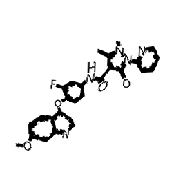 COc1ccc2c(Oc3ccc(NC(=O)c4c(C)n(C)n(-c5ccccn5)c4=O)cc3F)ccnc2c1